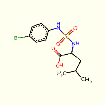 CC(C)CC(NS(=O)(=O)Nc1ccc(Br)cc1)C(=O)O